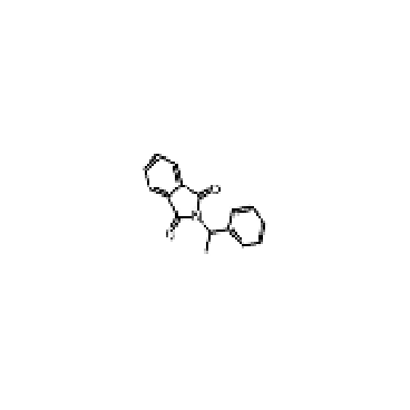 CC(c1ccccc1)N1C(=O)c2ccccc2C1=O